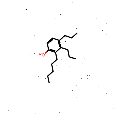 CCCCCc1c(O)ccc(CCC)c1CCC